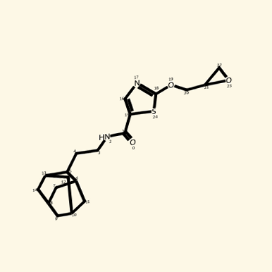 O=C(NCCC1C2CC3CC(C2)CC1C3)c1cnc(OCC2CO2)s1